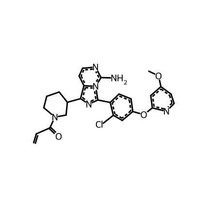 C=CC(=O)N1CCCC(c2nc(-c3ccc(Oc4cc(OC)ccn4)cc3Cl)n3c(N)nccc23)C1